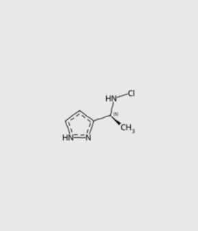 C[C@H](NCl)c1cc[nH]n1